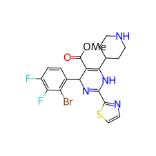 COC(=O)C1=C(C2CCNCC2)NC(c2nccs2)=NC1c1ccc(F)c(F)c1Br